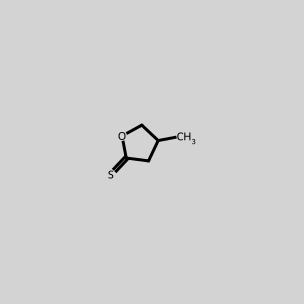 CC1COC(=S)C1